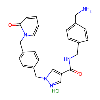 Cl.NCc1ccc(CNC(=O)c2cnn(Cc3ccc(Cn4ccccc4=O)cc3)c2)cc1